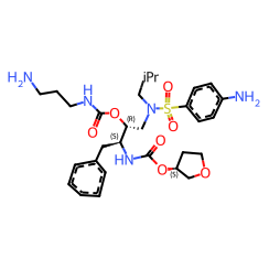 CC(C)CN(C[C@@H](OC(=O)NCCCN)[C@H](Cc1ccccc1)NC(=O)O[C@H]1CCOC1)S(=O)(=O)c1ccc(N)cc1